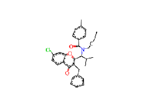 CCCCN(C(=O)c1ccc(C)cc1)C(c1oc2cc(Cl)ccc2c(=O)c1Cc1ccccc1)C(C)C